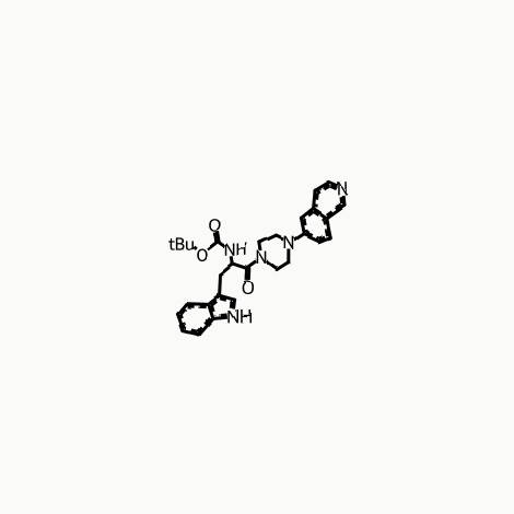 CC(C)(C)OC(=O)NC(Cc1c[nH]c2ccccc12)C(=O)N1CCN(c2ccc3cnccc3c2)CC1